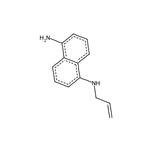 C=CCNc1cccc2c(N)cccc12